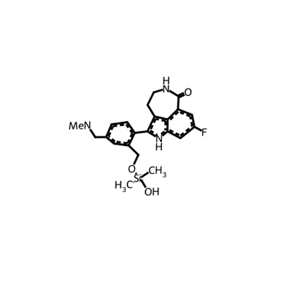 CNCc1ccc(-c2[nH]c3cc(F)cc4c3c2CCNC4=O)c(CO[Si](C)(C)O)c1